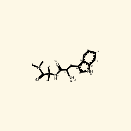 CN(C)C(=O)C(C)(C)NC(=O)C(N)Cc1c[nH]c2ccccc12